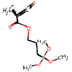 CO[Si](CCCOC(=O)C(C)=C=S)(OC)OC